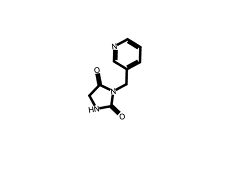 O=C1CNC(=O)N1Cc1cccnc1